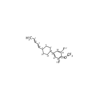 CC=CC=CC1CCC(c2cc(F)c(OC(F)(F)F)c(F)c2)CC1